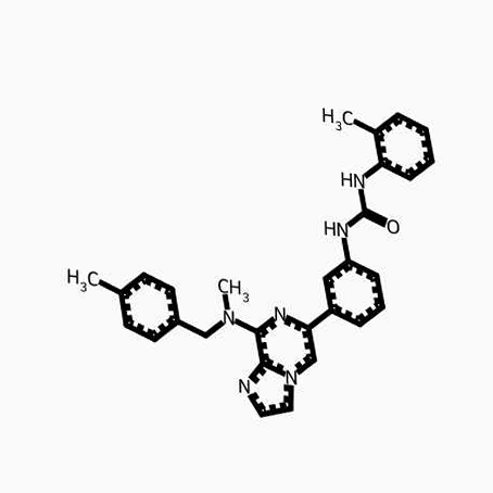 Cc1ccc(CN(C)c2nc(-c3cccc(NC(=O)Nc4ccccc4C)c3)cn3ccnc23)cc1